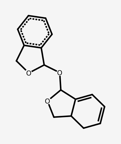 C1=CCC2COC(OC3OCc4ccccc43)C2=C1